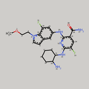 COCCn1ccc2cc(Nc3nc(NC4CCCCC4N)c(F)cc3C(N)=O)cc(F)c21